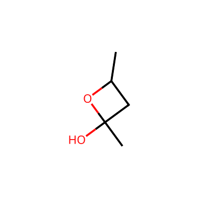 CC1CC(C)(O)O1